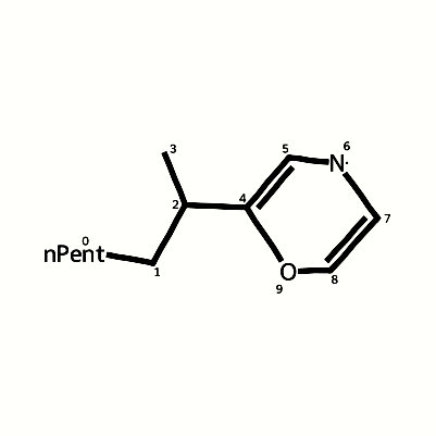 CCCCCCC(C)C1=C[N]C=CO1